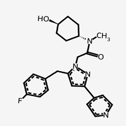 CN(C(=O)Cn1nc(-c2ccncc2)cc1Cc1ccc(F)cc1)[C@H]1CC[C@H](O)CC1